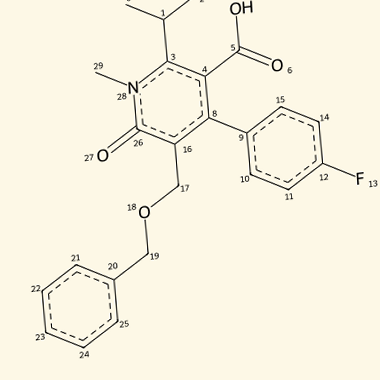 CC(C)c1c(C(=O)O)c(-c2ccc(F)cc2)c(COCc2ccccc2)c(=O)n1C